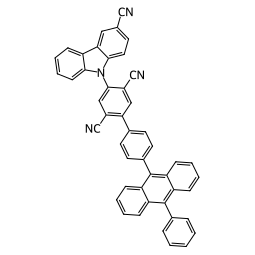 N#Cc1ccc2c(c1)c1ccccc1n2-c1cc(C#N)c(-c2ccc(-c3c4ccccc4c(-c4ccccc4)c4ccccc34)cc2)cc1C#N